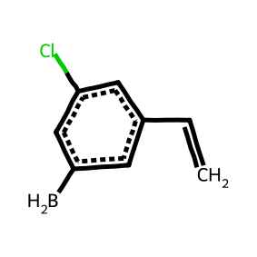 Bc1cc(Cl)cc(C=C)c1